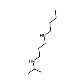 CCCCNCCCNC(C)C